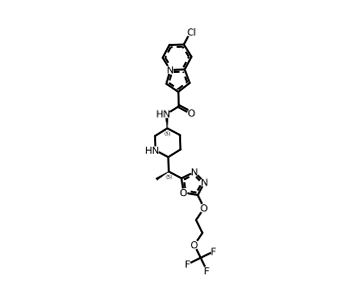 C[C@H](c1nnc(OCCOC(F)(F)F)o1)C1CC[C@H](NC(=O)c2cc3cc(Cl)ccn3c2)CN1